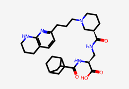 O=C(N[C@@H](CNC(=O)[C@@H]1CCCN(CCCc2ccc3c(n2)NCCC3)C1)C(=O)O)C1CC2CCC1CC2